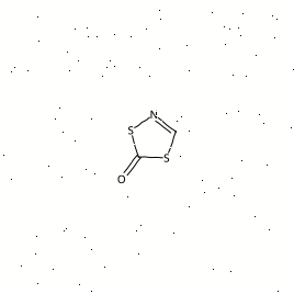 O=c1scns1